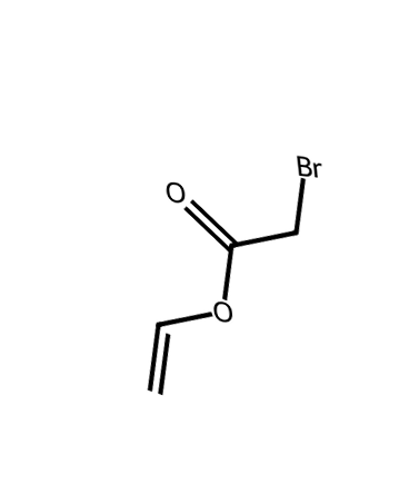 C=COC(=O)CBr